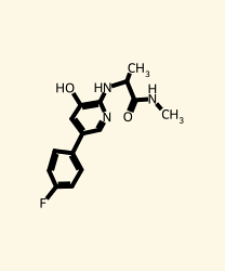 CNC(=O)C(C)Nc1ncc(-c2ccc(F)cc2)cc1O